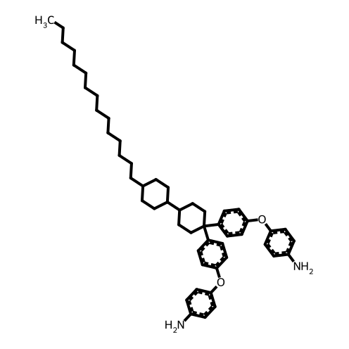 CCCCCCCCCCCCCCCC1CCC(C2CCC(c3ccc(Oc4ccc(N)cc4)cc3)(c3ccc(Oc4ccc(N)cc4)cc3)CC2)CC1